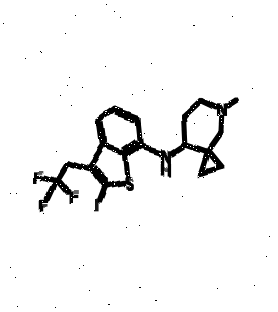 CN1CCC(Nc2cccc3c(CC(F)(F)F)c(I)sc23)C2(CC2)C1